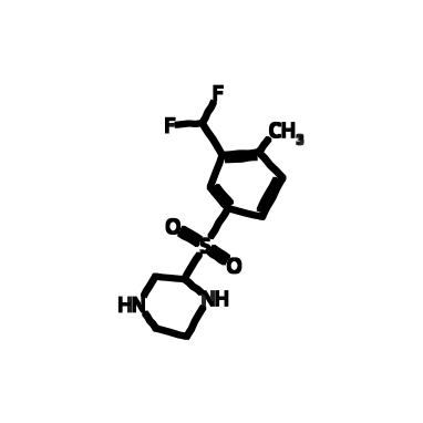 Cc1ccc(S(=O)(=O)C2CNCCN2)cc1C(F)F